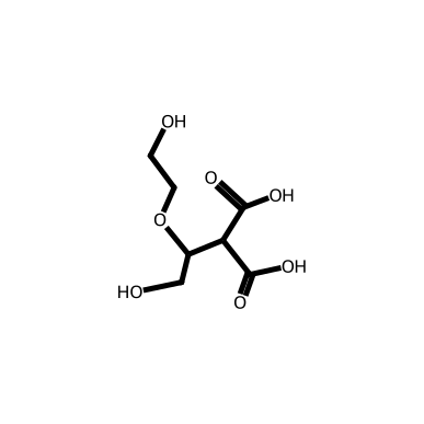 O=C(O)C(C(=O)O)C(CO)OCCO